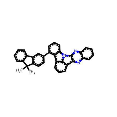 CC1(C)c2ccccc2-c2cc(-c3cccc4c3c3cccc5c6nc7ccccc7nc6n4c53)ccc21